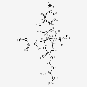 CC(C)OC(=O)OCOP(=O)(OCOC(=O)OC(C)C)OC1[C@@]2(C(C)F)O[C@@H](n3ccc(N)nc3=O)[C@H](F)[C@@]12O